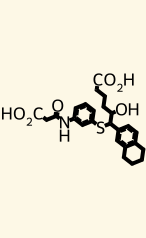 O=C(O)CCCC(O)C(Sc1cccc(NC(=O)CC(=O)O)c1)c1ccc2c(c1)CCCC2